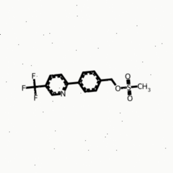 CS(=O)(=O)OCc1ccc(-c2ccc(C(F)(F)F)cn2)cc1